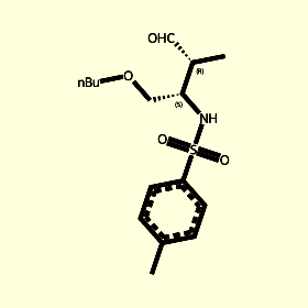 CCCCOC[C@@H](NS(=O)(=O)c1ccc(C)cc1)[C@@H](C)C=O